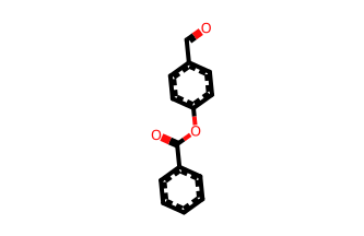 O=Cc1ccc(OC(=O)c2ccccc2)cc1